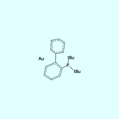 CC(C)(C)P(c1ccccc1-c1ccccc1)C(C)(C)C.[Au]